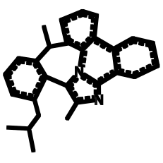 Cc1nc2c3ccccc3c3ccccc3n2c1-c1c(CC(C)C)cccc1C(C)C